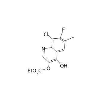 CCOC(=O)Oc1cnc2c(Cl)c(F)c(F)cc2c1O